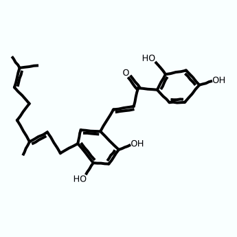 CC(C)=CCC/C(C)=C/Cc1cc(C=CC(=O)c2ccc(O)cc2O)c(O)cc1O